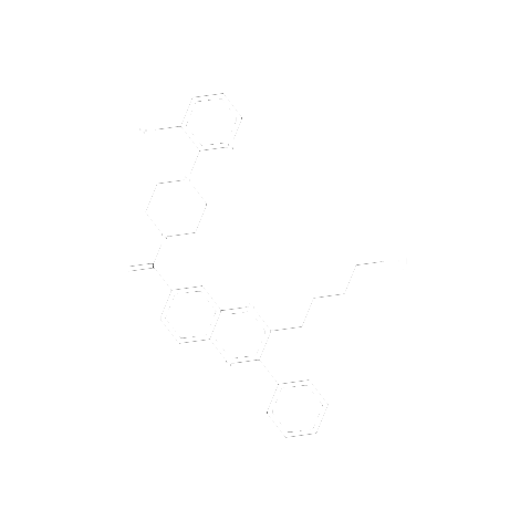 N#Cc1cccnc1N1CCN(C(=O)c2ccc3nc(-c4ccccc4)c(CCCCC(=O)O)nc3c2)CC1